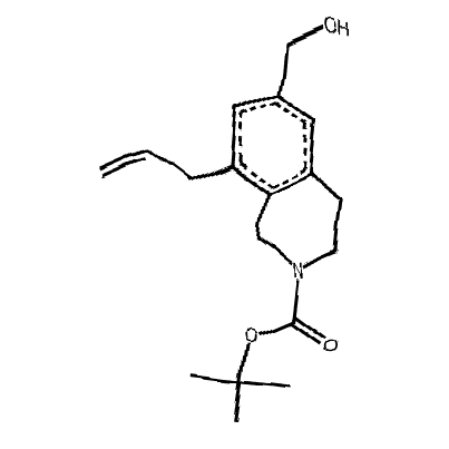 C=CCc1cc(CO)cc2c1CN(C(=O)OC(C)(C)C)CC2